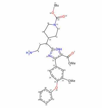 COC(=O)c1[nH]c(C(CCN)C2CCN(C(=O)OC(C)(C)C)CC2)nc1-c1ccc(Oc2ccccc2)c(OC)c1